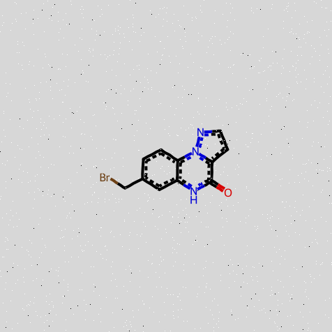 O=c1[nH]c2cc(CBr)ccc2n2nccc12